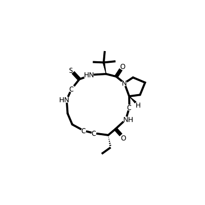 CC[C@@H]1CCCCNCC(=S)N[C@@H](C(C)(C)C)C(=O)N2CCC[C@@H]2CNC1=O